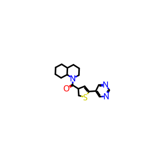 O=C(C1C=C(c2cncnc2)SC1)N1CCCC2CCCCC21